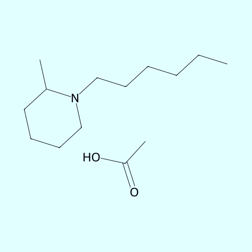 CC(=O)O.CCCCCCN1CCCCC1C